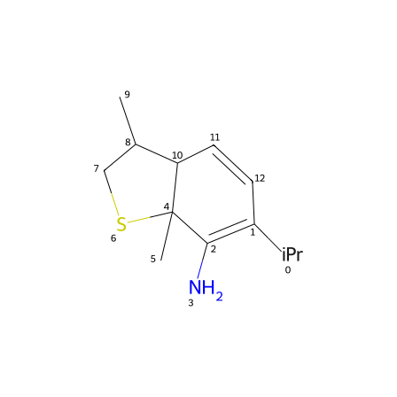 CC(C)C1=C(N)C2(C)SCC(C)C2C=C1